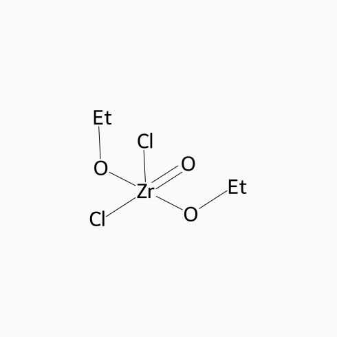 CC[O][Zr](=[O])([Cl])([Cl])[O]CC